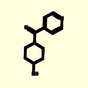 [NH]C1CCN(C(=O)c2ccncc2)CC1